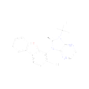 Cc1ccc2c(oc3ccccc32)c1N1c2nccnc2N(C(C)(C)C)[C@@H]1C